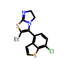 CCC1=C(c2ccc(Cl)c3sccc23)N2CCN=C2S1